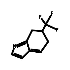 FC(F)(F)C1CC=C2C=CN=C2C1